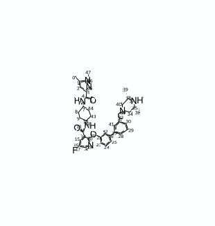 Cc1cc(C(=O)N[C@H]2CC[C@@H](NC(=O)c3cc(F)cnc3Oc3cccc(-c4cccc(CN5C[C@@H](C)N[C@@H](C)C5)c4)c3)CC2)nn1C